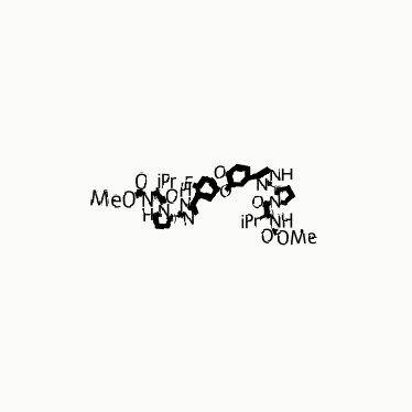 COC(=O)N[C@H](C(=O)N1CCC[C@H]1c1nc(-c2ccc3c(c2)Oc2cc(-c4cnc([C@@H]5CCCN5C(=O)[C@@H](NC(=O)OC)C(C)C)[nH]4)c(F)cc2O3)c[nH]1)C(C)C